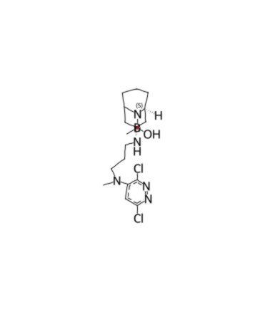 CB(O)N1C2CCC[C@H]1C[C@H](NCCCN(C)c1cc(Cl)nnc1Cl)C2